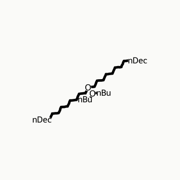 CCCCCCCCCCCCCCCCCCOCCCCCCCCCCCCCCCCCC.CCCCOCCCC